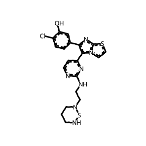 Oc1cc(-c2nc3sccn3c2-c2ccnc(NCCN3CCCNS3)n2)ccc1Cl